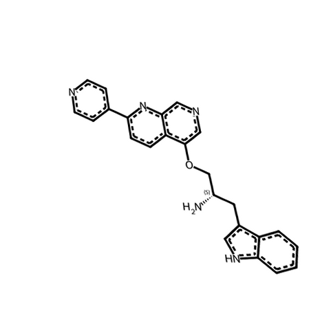 N[C@H](COc1cncc2nc(-c3ccncc3)ccc12)Cc1c[nH]c2ccccc12